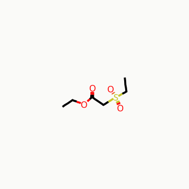 CCOC(=O)CS(=O)(=O)CC